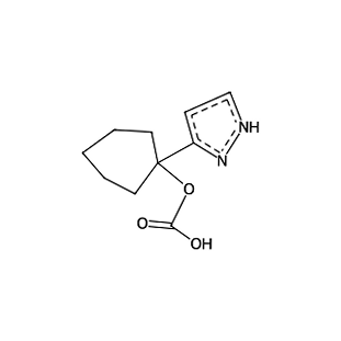 O=C(O)OC1(c2cc[nH]n2)CCCCC1